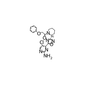 Nc1ncc(Cl)c(-c2nc([C@H]3CCCCN3C(=O)COc3ccccc3)no2)n1